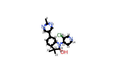 Cc1ncc(-c2ccc3c(c2)N(c2ccncc2Cl)C(O)C3(C)C)cn1